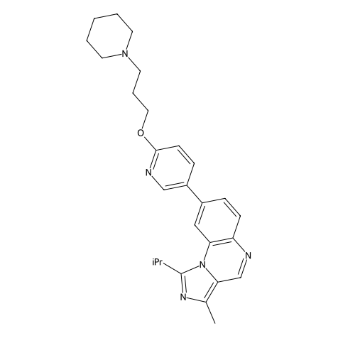 Cc1nc(C(C)C)n2c1cnc1ccc(-c3ccc(OCCCN4CCCCC4)nc3)cc12